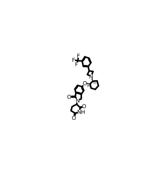 O=C1CCC(N2Cc3cc(O[C@@H]4CCCC[C@@H]4N4CC(c5cccc(C(F)(F)F)c5)C4)ccc3C2=O)C(=O)N1